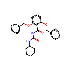 O=C(NC(=O)c1c(OCc2ccccc2)cccc1OCc1ccccc1)NC1CCCCC1